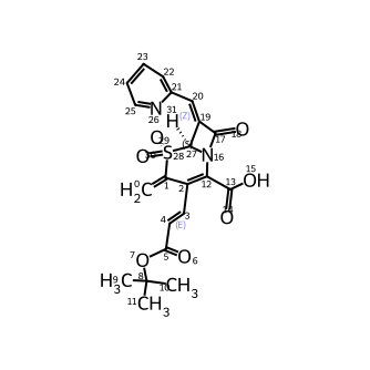 C=C1C(/C=C/C(=O)OC(C)(C)C)=C(C(=O)O)N2C(=O)/C(=C/c3ccccn3)[C@@H]2S1(=O)=O